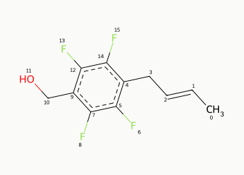 CC=CCc1c(F)c(F)c(CO)c(F)c1F